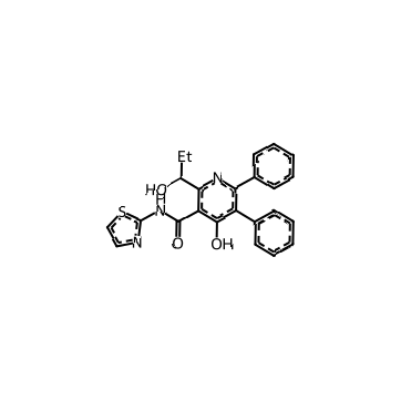 CCC(O)c1nc(-c2ccccc2)c(-c2ccccc2)c(O)c1C(=O)Nc1nccs1